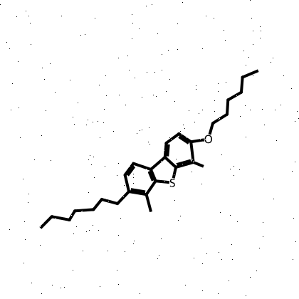 CCCCCCCc1ccc2c(sc3c(C)c(OCCCCCC)ccc32)c1C